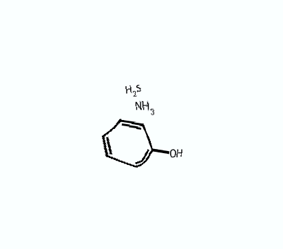 N.Oc1ccccc1.S